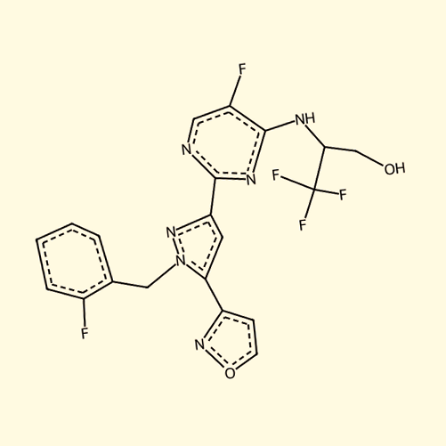 OCC(Nc1nc(-c2cc(-c3ccon3)n(Cc3ccccc3F)n2)ncc1F)C(F)(F)F